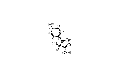 CC(Cl)(C(=O)O)C(=O)c1ccc(F)cc1